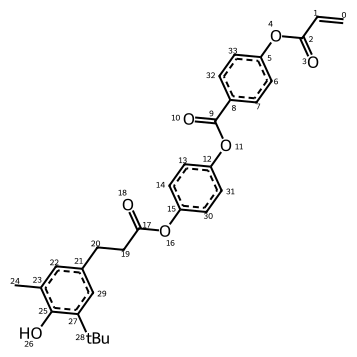 C=CC(=O)Oc1ccc(C(=O)Oc2ccc(OC(=O)CCc3cc(C)c(O)c(C(C)(C)C)c3)cc2)cc1